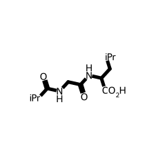 CC(C)CC(NC(=O)CNC(=O)C(C)C)C(=O)O